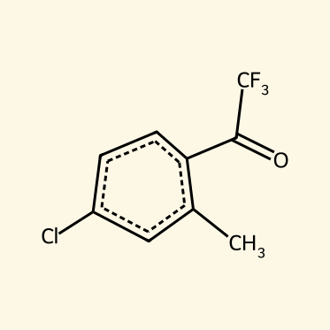 Cc1cc(Cl)ccc1C(=O)C(F)(F)F